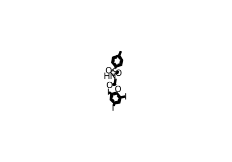 Cc1ccc(S(=O)(=O)NCC(=O)Oc2c(I)cc(I)cc2I)cc1